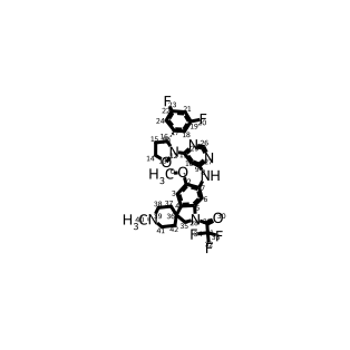 COc1cc2c(cc1Nc1cc(N3OCC[C@@H]3c3cc(F)cc(F)c3)ncn1)N(C(=O)C(F)(F)F)CC21CCN(C)CC1